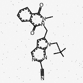 Cn1c(=O)c2ccccc2c(=O)n1Cc1cc2cnc(C#N)nc2n1CC(C)(C)C